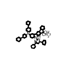 CC1(C)c2ccccc2-c2cc3c4cc(N(c5ccc(-c6ccccc6)cc5)c5ccc(-c6ccccc6)cc5)ccc4n(C4=NC(C5=CCCC=C5)=CC(c5ccccc5)N4)c3cc21